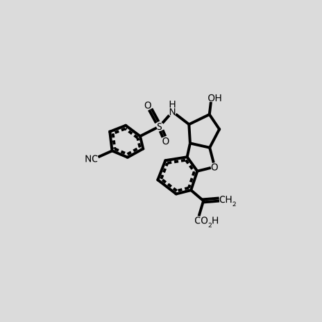 C=C(C(=O)O)c1cccc2c1OC1CC(O)C(NS(=O)(=O)c3ccc(C#N)cc3)C21